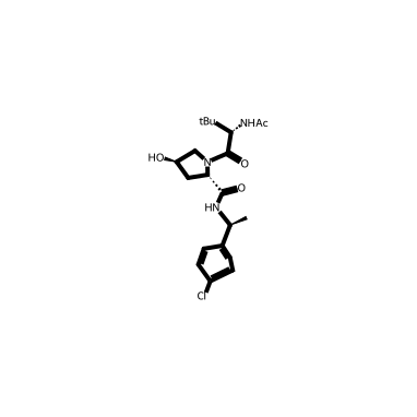 CC(=O)N[C@H](C(=O)N1C[C@H](O)C[C@H]1C(=O)N[C@@H](C)c1ccc(Cl)cc1)C(C)(C)C